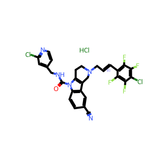 Cl.N#Cc1ccc2c(c1)c1c(n2C(=O)NCc2ccnc(Cl)c2)CCN(C/C=C/c2c(F)c(F)c(Cl)c(F)c2F)C1